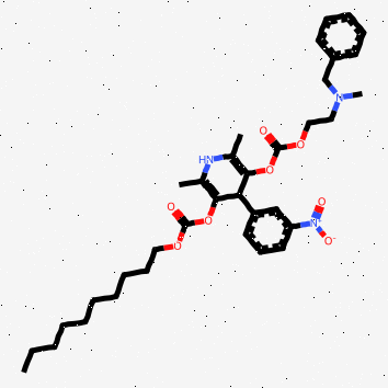 CCCCCCCCCCOC(=O)OC1=C(C)NC(C)=C(OC(=O)OCCN(C)Cc2ccccc2)C1c1cccc([N+](=O)[O-])c1